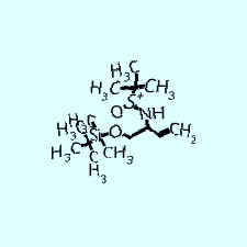 C=CC(CO[Si](C)(C)C(C)(C)C)N[S+]([O-])C(C)(C)C